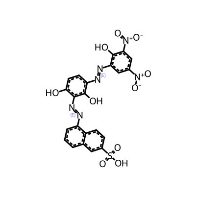 O=[N+]([O-])c1cc(/N=N/c2ccc(O)c(/N=N/c3cccc4cc(S(=O)(=O)O)ccc34)c2O)c(O)c([N+](=O)[O-])c1